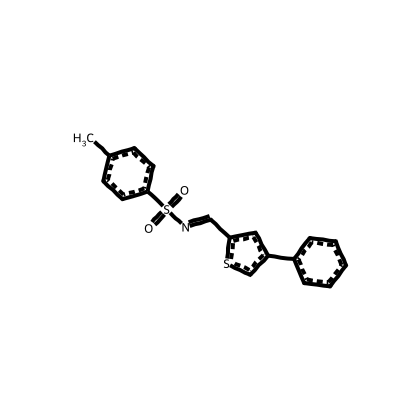 Cc1ccc(S(=O)(=O)/N=C/c2cc(-c3ccccc3)cs2)cc1